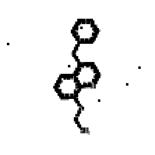 [CH2]COc1cccc2c(Cc3ccccc3)ccnc12